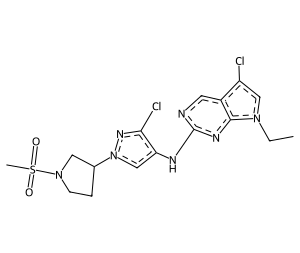 CCn1cc(Cl)c2cnc(Nc3cn(C4CCN(S(C)(=O)=O)C4)nc3Cl)nc21